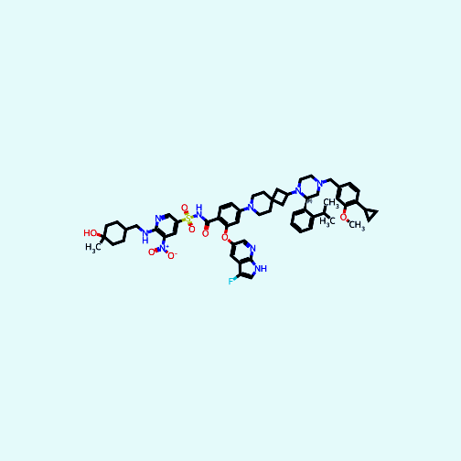 COc1cc(CN2CCN(C3CC4(CCN(c5ccc(C(=O)NS(=O)(=O)c6cnc(NCC7CCC(C)(O)CC7)c([N+](=O)[O-])c6)c(Oc6cnc7[nH]cc(F)c7c6)c5)CC4)C3)[C@H](c3ccccc3C(C)C)C2)ccc1C1CC1